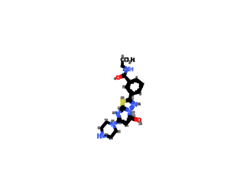 O=C(O)CNC(=O)c1cccc(-c2nn3c(=O)cc(N4CCNCC4)nc3s2)c1